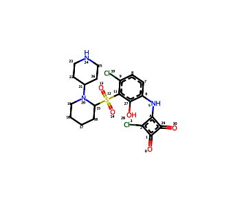 O=c1c(Cl)c(Nc2ccc(Cl)c(S(=O)(=O)C3CCCCN3C3CCNCC3)c2O)c1=O